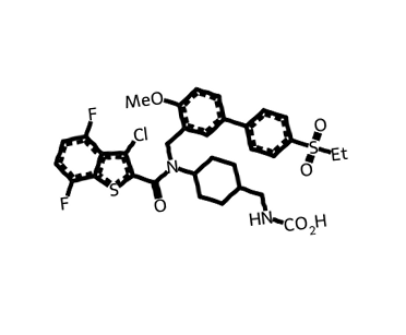 CCS(=O)(=O)c1ccc(-c2ccc(OC)c(CN(C(=O)c3sc4c(F)ccc(F)c4c3Cl)C3CCC(CNC(=O)O)CC3)c2)cc1